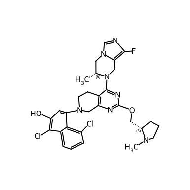 C[C@@H]1Cn2cnc(F)c2CN1c1nc(OC[C@@H]2CCCN2C)nc2c1CCN(c1cc(O)c(Cl)c3cccc(Cl)c13)C2